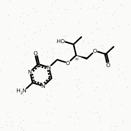 CC(=O)OC[C@@H](OCn1cnc(N)nc1=O)C(C)O